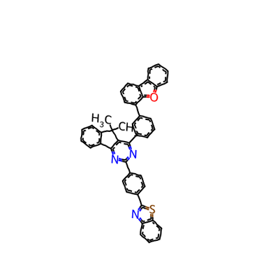 CC1(C)c2ccccc2-c2nc(-c3ccc(-c4nc5ccccc5s4)cc3)nc(-c3cccc(-c4cccc5c4oc4ccccc45)c3)c21